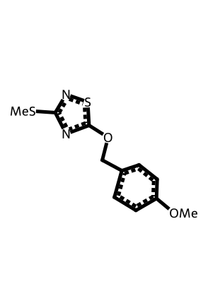 COc1ccc(COc2nc(SC)ns2)cc1